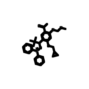 COCOc1cc(OCC2CC2)c(C(O[SiH](c2ccccc2)c2ccccc2)C(C)(C)C)cc1C(C)=O